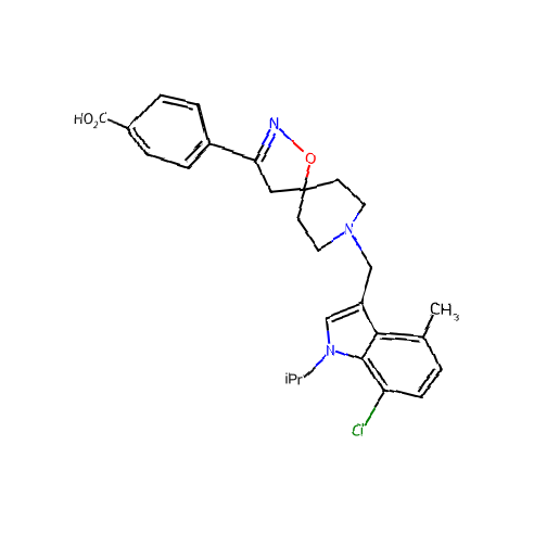 Cc1ccc(Cl)c2c1c(CN1CCC3(CC1)CC(c1ccc(C(=O)O)cc1)=NO3)cn2C(C)C